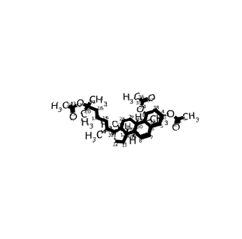 CC(=O)O[C@@H]1C=C2C=C[C@H]3[C@@H]4CC[C@H]([C@H](C)CCCC(C)(C)OC(C)=O)[C@@]4(C)CC[C@@H]3[C@@]2(C)[C@@H](OC(C)=O)C1